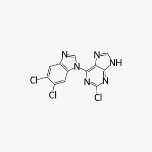 Clc1nc(-n2cnc3cc(Cl)c(Cl)cc32)c2nc[nH]c2n1